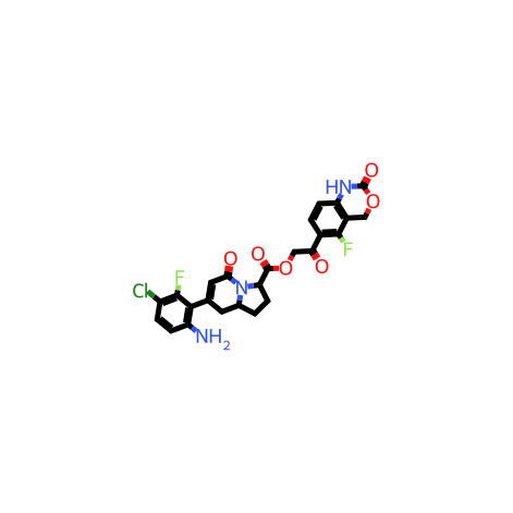 Nc1ccc(Cl)c(F)c1C1=CC(=O)N2C(CCC2C(=O)OCC(=O)c2ccc3c(c2F)COC(=O)N3)C1